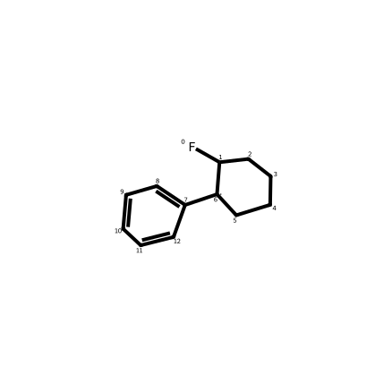 FC1CCCC[C]1c1ccccc1